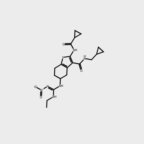 CCNC(=N[N+](=O)[O-])NC1CCc2sc(NC(=O)C3CC3)c(C(=O)NCC3CC3)c2C1